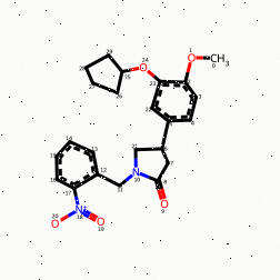 COc1ccc(C2CC(=O)N(Cc3ccccc3[N+](=O)[O-])C2)cc1OC1CCCC1